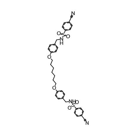 N#Cc1ccc(S(=O)(=O)NCc2ccc(OCCCCCCCOc3ccc(CNS(=O)(=O)c4ccc(C#N)cc4)cc3)cc2)cc1